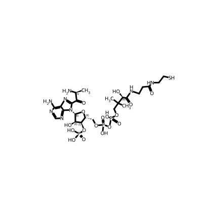 C[C@H](N)C(=O)c1nc2c(N)ncnc2n1[C@@H]1O[C@H](COP(=O)(O)OP(=O)(O)OCC(C)(C)[C@@H](O)C(=O)NCCC(=O)NCCS)[C@@H](OP(=O)(O)O)[C@H]1O